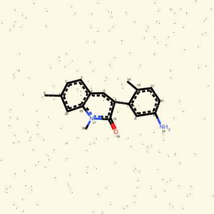 Cc1ccc2cc(-c3cc(N)ccc3C)c(=O)n(C)c2c1